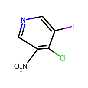 O=[N+]([O-])c1cncc(I)c1Cl